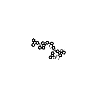 CC1(C)c2ccccc2-c2ccc(N(c3ccc(-c4cccc(-c5cccc(C6(C)c7ccccc7-c7c(N(c8ccccc8)c8ccc9c%10ccccc%10c%10ccccc%10c9c8)cccc76)c5)c4)cc3)c3ccc4c(c3)-c3ccccc3C4(C)c3ccccc3)cc21